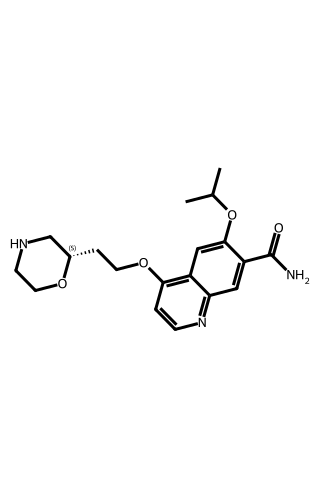 CC(C)Oc1cc2c(OCC[C@H]3CNCCO3)ccnc2cc1C(N)=O